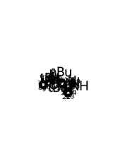 CCCCc1cn(-c2c(C(C)(C)C)cccc2C(C)(C)C)c(=O)n1Cc1ccc(-c2ccccc2-c2nnn[nH]2)cc1